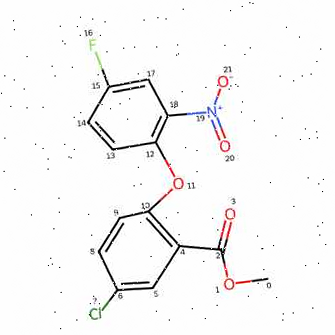 COC(=O)c1cc(Cl)ccc1Oc1ccc(F)cc1[N+](=O)[O-]